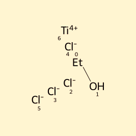 CCO.[Cl-].[Cl-].[Cl-].[Cl-].[Ti+4]